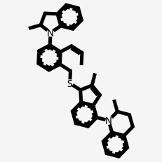 C/C=C\c1c(CSC2C(C)=Cc3c2cccc3N2c3ccccc3CCC2C)cccc1N1c2ccccc2CC1C